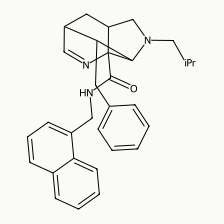 CC(C)CN1CC2CC3C=NC2(C(=O)NCc2cccc4ccccc24)C1C3Cc1ccccc1